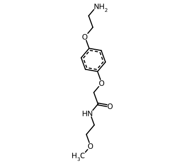 COCCNC(=O)COc1ccc(OCCN)cc1